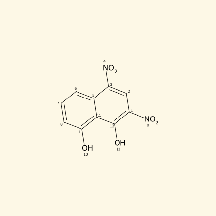 O=[N+]([O-])c1cc([N+](=O)[O-])c2cccc(O)c2c1O